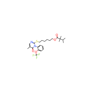 Cc1cnc(SCCCCCCOC(=O)C(C)(C)C(C)C)n(-c2ccccc2OC(F)(F)F)c1=O